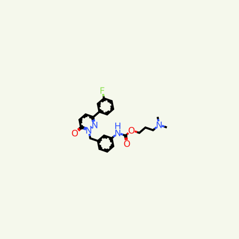 CN(C)CCCOC(=O)Nc1cccc(Cn2nc(-c3cccc(F)c3)ccc2=O)c1